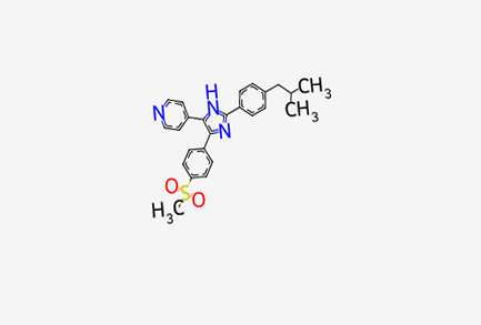 CC(C)Cc1ccc(-c2nc(-c3ccc(S(C)(=O)=O)cc3)c(-c3ccncc3)[nH]2)cc1